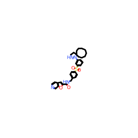 O=C(NCc1ccc(S(=O)(=O)c2cccc(N3NCCC34CCCCCCCC4)c2)cc1)c1cc2ccncc2o1